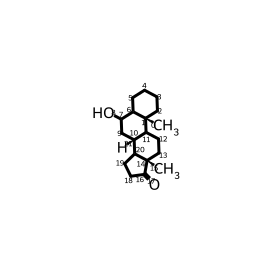 C[C@]12CCCCC1C(O)C[C@@H]1C2CC[C@]2(C)C(=O)CCC12